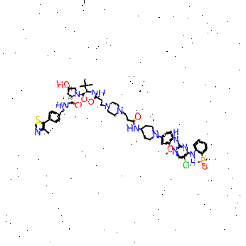 COc1cc(N2CCC(NC(=O)CCN3CCN(CCC(=O)NC(C(=O)N4C[C@H](O)C[C@H]4C(=O)NCc4ccc(-c5scnc5C)cc4)C(C)(C)C)CC3)CC2)ccc1Nc1ncc(Cl)c(Nc2ccccc2P(C)(C)=O)n1